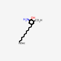 CCCCCCCCCCCCCCCCCCCCc1cc(N)c(O)c(C(=O)O)c1